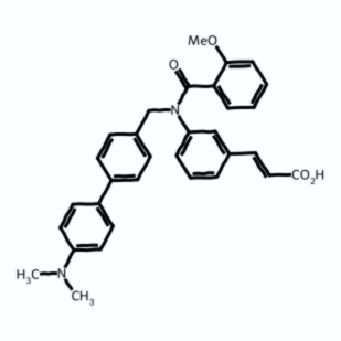 COc1ccccc1C(=O)N(Cc1ccc(-c2ccc(N(C)C)cc2)cc1)c1cccc(/C=C/C(=O)O)c1